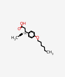 CC#C[C@H](CC(=O)O)c1ccc(OCCCCCC)cc1